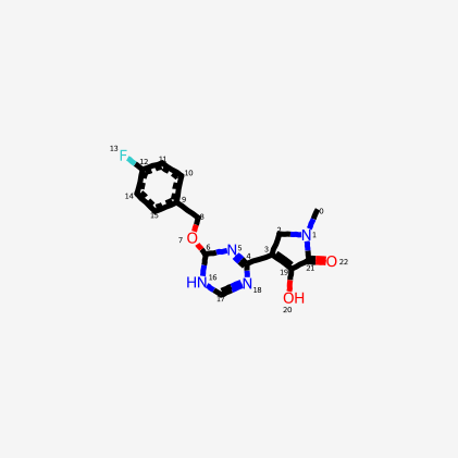 CN1CC(C2=NC(OCc3ccc(F)cc3)NC=N2)=C(O)C1=O